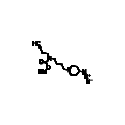 C#CCCN(CCCCN1CCC(N=[N+]=[N-])CC1)C(=O)OC(C)(C)C